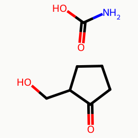 NC(=O)O.O=C1CCCC1CO